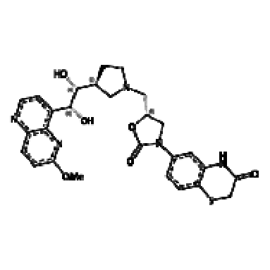 COc1ccc2nccc([C@@H](O)[C@H](O)[C@H]3CCN(C[C@@H]4CN(c5ccc6c(c5)NC(=O)CS6)C(=O)O4)C3)c2n1